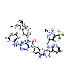 Cn1nc(Cn2c3c(c4cccnc42)CCN(C(=O)c2ccc(-n4c(=O)n(C5CCCN(CC(C)(C)C)C5)c5nc(Nc6ccccc6)ncc54)cc2)C3)cc1C(F)(F)F